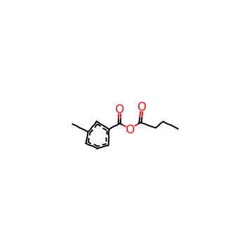 CCCC(=O)OC(=O)c1cccc(C)c1